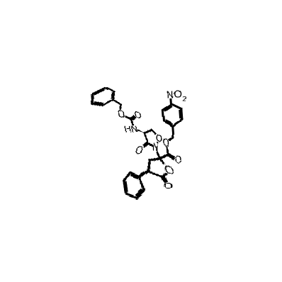 O=C(N[C@H]1CON(C2(C(=O)OCc3ccc([N+](=O)[O-])cc3)CC(c3ccccc3)C(=O)O2)C1=O)OCc1ccccc1